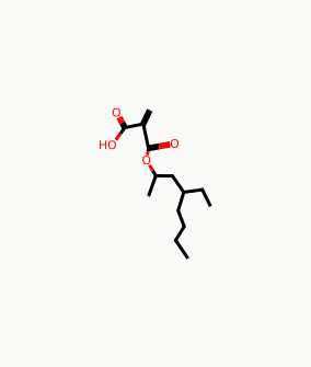 C=C(C(=O)O)C(=O)OC(C)CC(CC)CCCC